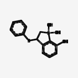 Oc1cccc2c1S(O)(O)CC2Sc1ccccc1